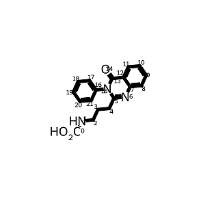 O=C(O)NCCCc1nc2ccccc2c(=O)n1-c1ccccc1